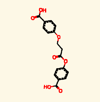 O=C(CCOc1ccc(C(=O)O)cc1)Oc1ccc(C(=O)O)cc1